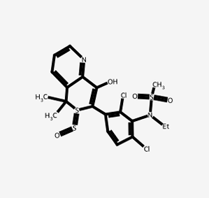 CCN(c1c(Cl)ccc(C2=C(O)c3ncccc3C(C)(C)S2=S=O)c1Cl)S(C)(=O)=O